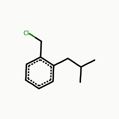 CC(C)Cc1ccccc1CCl